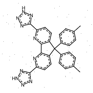 Cc1ccc(C2(c3ccc(C)cc3)c3ccc(-c4nn[nH]n4)nc3-c3nc(-c4nn[nH]n4)ccc32)cc1